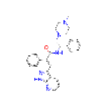 CN1CCN(C[C@@H](NC(=O)/C(=C/c2n[nH]c3ncccc23)c2ccccc2)c2ccccc2)CC1